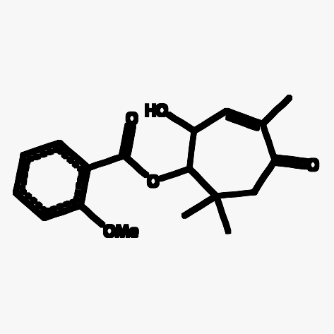 COc1ccccc1C(=O)OC1C(O)C=C(C)C(=O)CC1(C)C